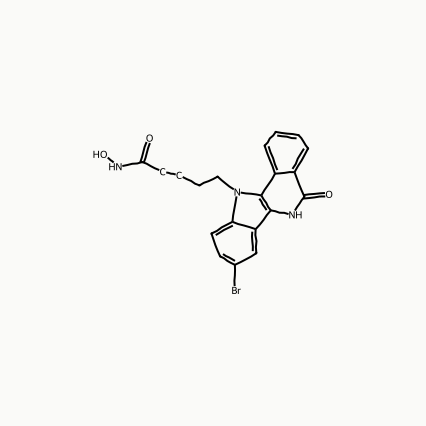 O=C(CCCCn1c2ccc(Br)cc2c2[nH]c(=O)c3ccccc3c21)NO